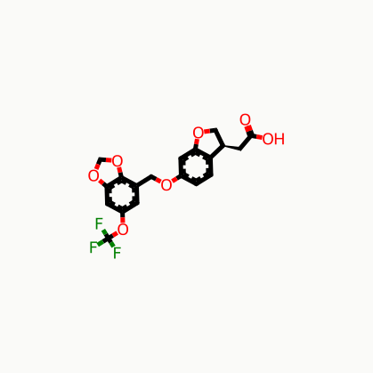 O=C(O)C[C@@H]1COc2cc(OCc3cc(OC(F)(F)F)cc4c3OCO4)ccc21